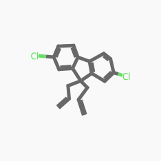 C=CCC1(CC=C)c2cc(Cl)ccc2-c2ccc(Cl)cc21